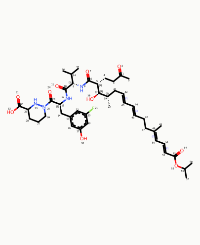 CC(=O)CC[C@@H](C(=O)N[C@H](C(=O)N[C@@H](Cc1cc(O)cc(F)c1)C(=O)N1CCCC(C(=O)O)N1)C(C)C)[C@H](O)[C@@H](C)C/C=C/C=C/CC/C(C)=C/C=C/C(=O)OC(C)C